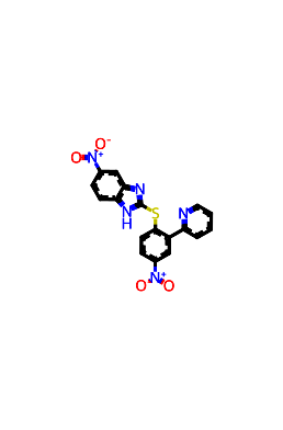 O=[N+]([O-])c1ccc(Sc2nc3cc([N+](=O)[O-])ccc3[nH]2)c(-c2ccccn2)c1